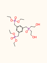 CCOP(=O)(Cc1cc(CP(=O)(CCO)CCO)cc(CP(=O)(OCC)OCC)c1)OCC